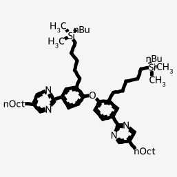 CCCCCCCCc1cnc(-c2ccc(Oc3ccc(-c4ncc(CCCCCCCC)cn4)cc3CCCCC[Si](C)(C)CCCC)c(CCCCC[Si](C)(C)CCCC)c2)nc1